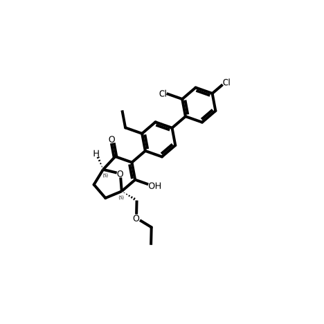 CCOC[C@]12CC[C@H](O1)C(=O)C(c1ccc(-c3ccc(Cl)cc3Cl)cc1CC)=C2O